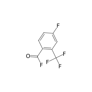 O=C(F)c1ccc(F)cc1C(F)(F)F